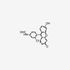 O=CNc1ccc(-c2c3ccc(=O)cc-3oc3cc(O)ccc23)c(C(F)(F)F)c1